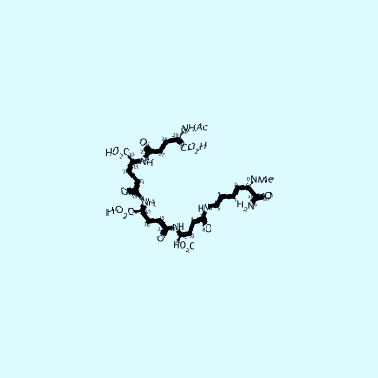 CN[C@@H](CCCCNC(=O)CC[C@H](NC(=O)CC[C@H](NC(=O)CC[C@H](NC(=O)CC[C@H](NC(C)=O)C(=O)O)C(=O)O)C(=O)O)C(=O)O)C(N)=O